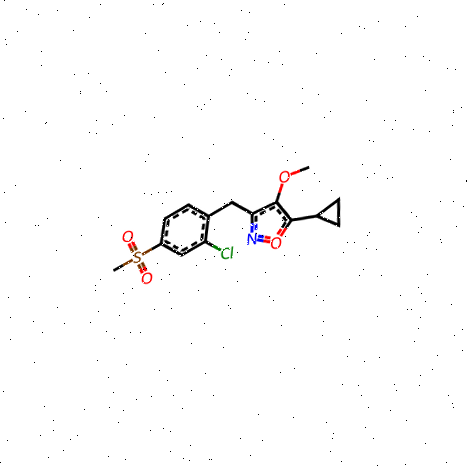 COc1c(Cc2ccc(S(C)(=O)=O)cc2Cl)noc1C1CC1